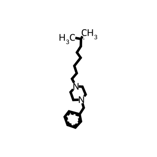 C[C](C)CCCCCCN1CCN(Cc2ccccc2)CC1